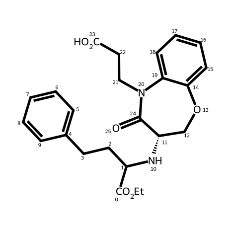 CCOC(=O)C(CCc1ccccc1)N[C@H]1COc2ccccc2N(CCC(=O)O)C1=O